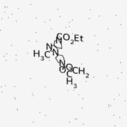 C=C(C)OC(=O)N1CCC(n2c(C)nc3c2CCN(C(=O)OCC)C3)CC1